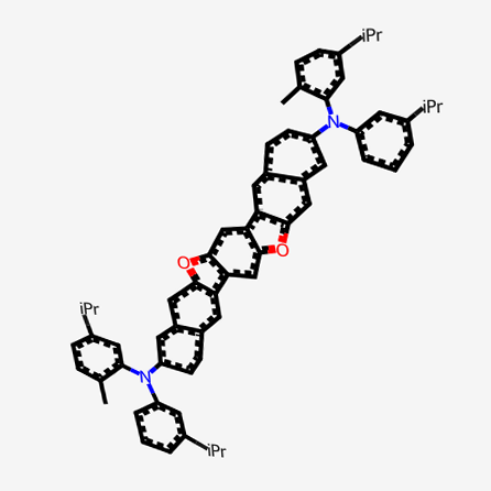 Cc1ccc(C(C)C)cc1N(c1cccc(C(C)C)c1)c1ccc2cc3c(cc2c1)oc1cc2c(cc13)oc1cc3cc(N(c4cccc(C(C)C)c4)c4cc(C(C)C)ccc4C)ccc3cc12